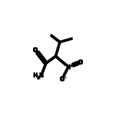 CC(C)C(C(N)=O)[N+](=O)[O-]